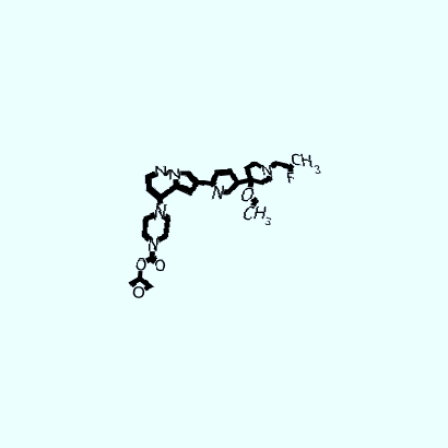 CCOC1(C2C=CC(C3=CN4N=CCC(N5CCN(C(=O)OC6COC6)CC5)C4C3)=NC2)CCN(CC(C)F)CC1